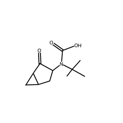 CC(C)(C)N(C(=O)O)C1CC2CC2C1=O